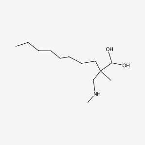 CCCCCCCCC(C)(CNC)C(O)O